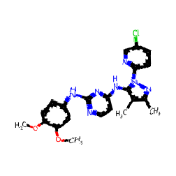 COc1ccc(Nc2nccc(Nc3c(C)c(C)nn3-c3ccc(Cl)cn3)n2)cc1OC